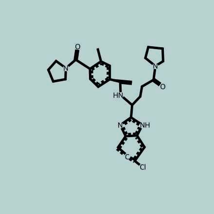 C=C(NC(CCC(=O)N1CCCC1)c1nc2ccc(Cl)cc2[nH]1)c1ccc(C(=O)N2CCCC2)c(C)c1